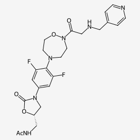 CC(=O)NC[C@H]1CN(c2cc(F)c(N3CCON(C(=O)CNCc4ccncc4)CC3)c(F)c2)C(=O)O1